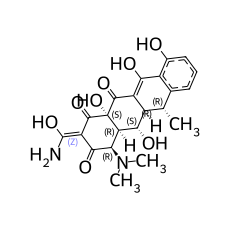 C[C@H]1c2cccc(O)c2C(O)=C2C(=O)[C@]3(O)C(=O)/C(=C(/N)O)C(=O)[C@H](N(C)C)[C@@H]3[C@@H](O)[C@@H]21